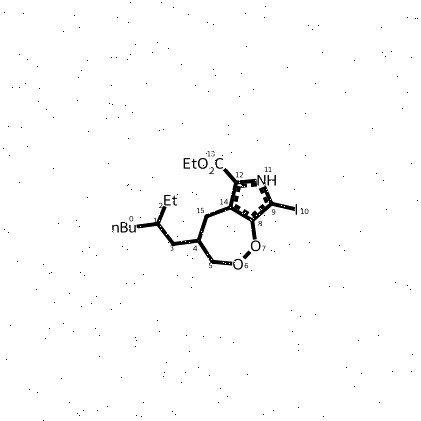 CCCCC(CC)CC1COOc2c(I)[nH]c(C(=O)OCC)c2C1